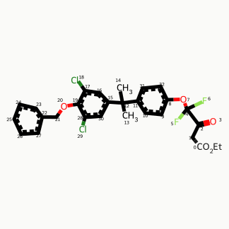 CCOC(=O)CC(=O)C(F)(F)Oc1ccc(C(C)(C)c2cc(Cl)c(OCc3ccccc3)c(Cl)c2)cc1